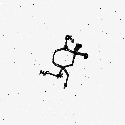 CPC1(CF)CCN(C)S(=O)(=O)C1